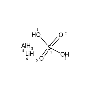 O=S(=O)(O)O.[AlH3].[LiH]